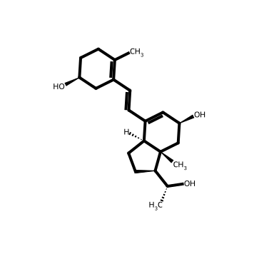 CC1=C(/C=C/C2=C[C@@H](O)C[C@]3(C)[C@@H]([C@@H](C)O)CC[C@@H]23)C[C@@H](O)CC1